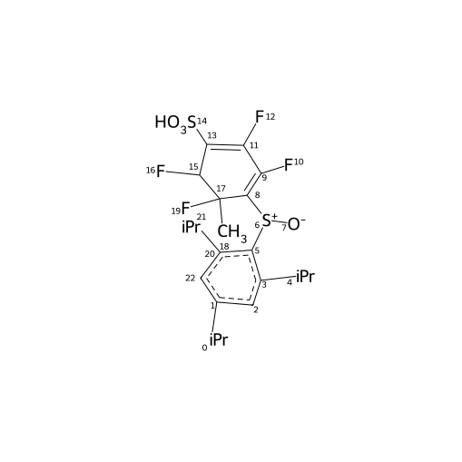 CC(C)c1cc(C(C)C)c([S+]([O-])C2=C(F)C(F)=C(S(=O)(=O)O)C(F)C2(C)F)c(C(C)C)c1